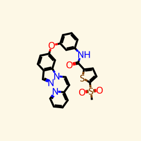 CS(=O)(=O)c1ccc(C(=O)Nc2cccc(Oc3ccc4cnn(C=Cc5ccccn5)c4c3)c2)s1